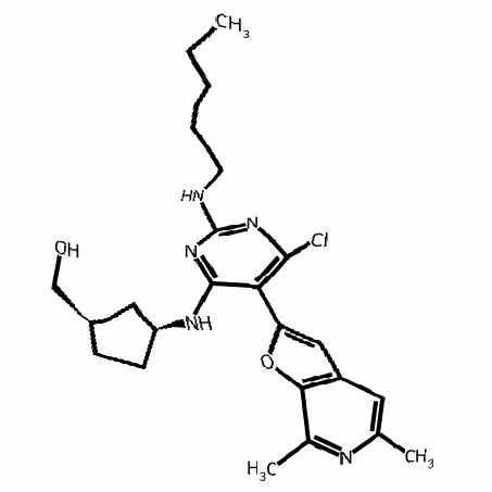 CCCCCNc1nc(Cl)c(-c2cc3cc(C)nc(C)c3o2)c(N[C@H]2CC[C@@H](CO)C2)n1